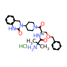 CC(C)(N)C(=O)N[C@H](COCc1ccccc1)C(=O)N1CCC(N2Cc3ccccc3NC2=O)CC1.Cl